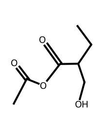 CCC(CO)C(=O)OC(C)=O